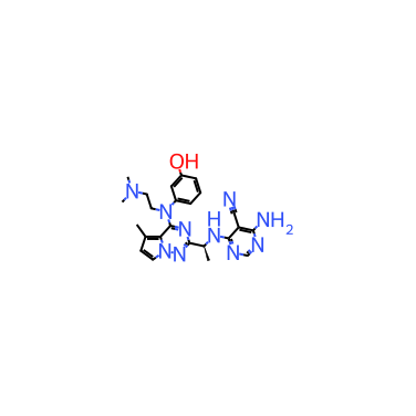 Cc1ccn2nc([C@H](C)Nc3ncnc(N)c3C#N)nc(N(CCN(C)C)c3cccc(O)c3)c12